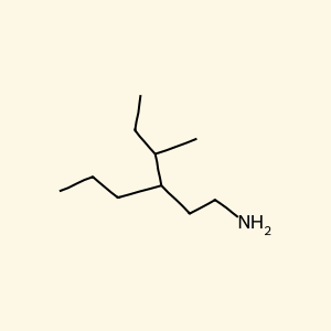 CCCC(CCN)C(C)CC